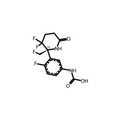 O=C(O)Nc1ccc(F)c([C@@]2(CF)NC(=O)CCC2(F)F)c1